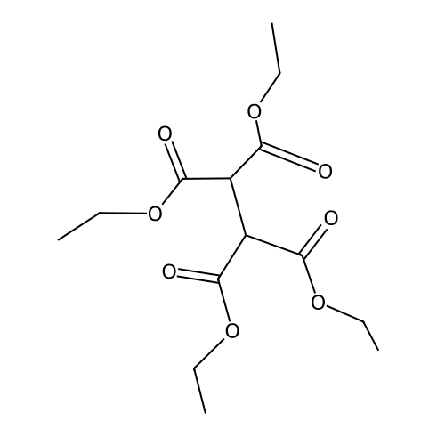 CCOC(=O)C(C(=O)OCC)C(C(=O)OCC)C(=O)OCC